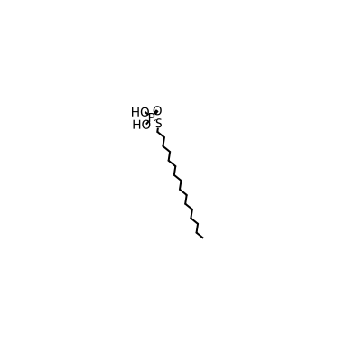 CCCCCCCCCCCCCCCCSP(=O)(O)O